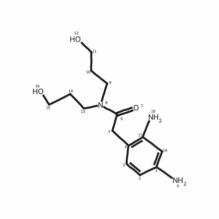 Nc1ccc(CC(=O)N(CCCO)CCCO)c(N)c1